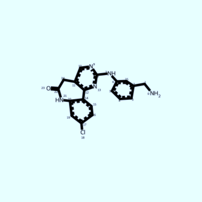 NCc1cccc(Nc2ncc3c(n2)-c2ccc(Cl)cc2NC(=O)C3)c1